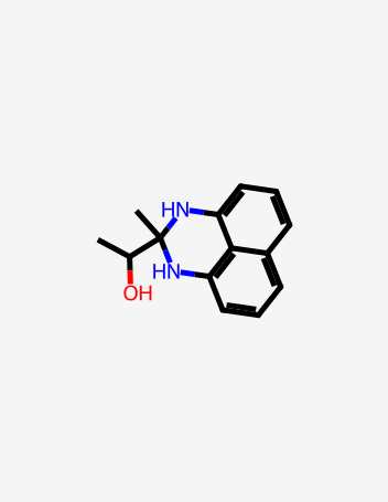 CC(O)C1(C)Nc2cccc3cccc(c23)N1